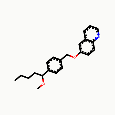 CCCCC(OC)c1ccc(COc2ccc3ncccc3c2)cc1